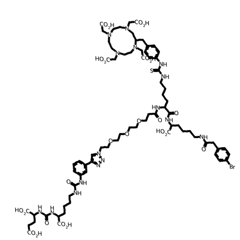 O=C(O)CCC(NC(=O)NC(CCCCNC(=O)Nc1cccc(-c2cn(CCOCCOCCOCCC(=O)NC(CCCCNC(=S)Nc3ccc(CC4CN(CC(=O)O)CCN(CC(=O)O)CCN(CC(=O)O)CCN4CC(=O)O)cc3)C(=O)NC(CCCCNC(=O)Cc3ccc(Br)cc3)C(=O)O)nn2)c1)C(=O)O)C(=O)O